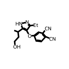 CCc1n[nH]c(C(C)CCO)c1Oc1ccc(C#N)c(C#N)c1